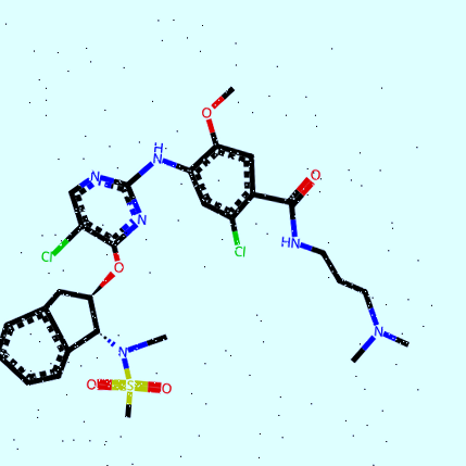 COc1cc(C(=O)NCCCN(C)C)c(Cl)cc1Nc1ncc(Cl)c(O[C@@H]2Cc3ccccc3[C@H]2N(C)S(C)(=O)=O)n1